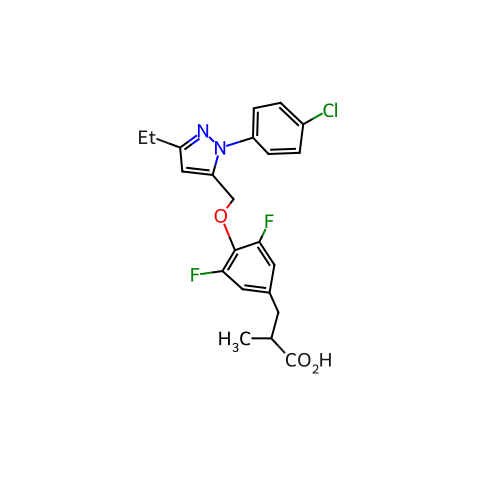 CCc1cc(COc2c(F)cc(CC(C)C(=O)O)cc2F)n(-c2ccc(Cl)cc2)n1